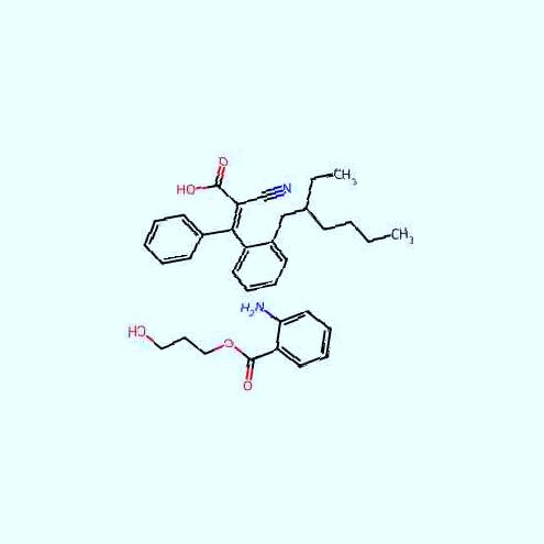 CCCCC(CC)Cc1ccccc1C(=C(C#N)C(=O)O)c1ccccc1.Nc1ccccc1C(=O)OCCCO